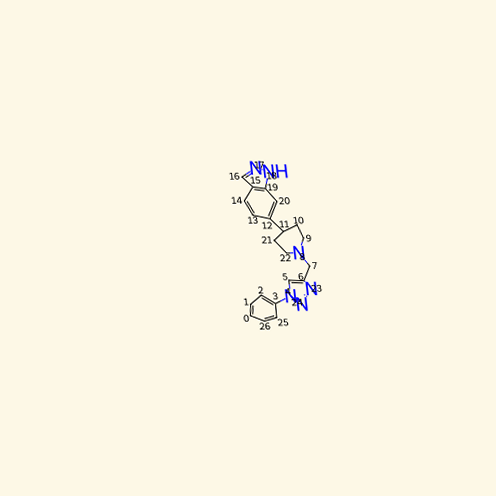 c1ccc(-n2cc(CN3CCC(c4ccc5cn[nH]c5c4)CC3)nn2)cc1